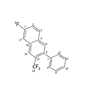 Fc1ccc2cc(-c3ccccc3)c(C(F)(F)F)cc2c1